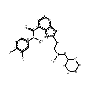 CN(CCc1nc2nccc(C(=N)N(O)c3ccc(F)c(Cl)c3)c2[nH]1)CC1COCCO1